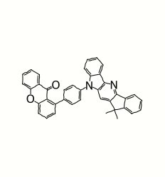 CC1(C)c2ccccc2-c2nc3c4ccccc4n(-c4ccc(-c5cccc6oc7ccccc7c(=O)c56)cc4)c3cc21